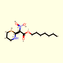 CCCCCCCOC(=O)/C(=C1\NCCCS1)[N+](=O)[O-]